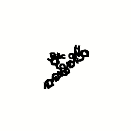 CC(=O)Oc1c(C)cc(C[C@@H](OC(=O)N2CCC(N3CCc4ccccc4NC3=O)CC2)C(=O)N2CCN(C3CCN(C)CC3)CC2)cc1C